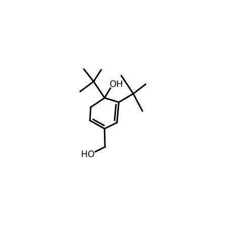 CC(C)(C)C1=CC(CO)=CCC1(O)C(C)(C)C